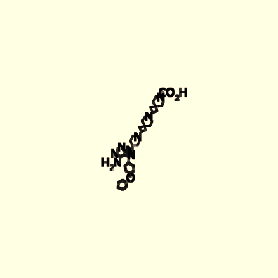 Nc1ncnc2c1c(-c1ccc(Oc3ccccc3)cc1)nn2C1CCN(C2CC3(CCN(C4CC5(CCN(C(=O)O)CC5)C4)CC3)C2)CC1